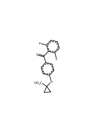 O=C(c1ccc(OC2(C(=O)O)CC2)cc1)c1c(F)cccc1F